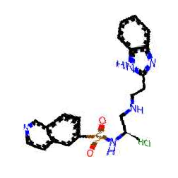 C[C@H](CNCCc1nc2ccccc2[nH]1)NS(=O)(=O)c1ccc2cnccc2c1.Cl